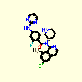 Cc1cc(Cl)cc2ccnc(N(C(=O)c3ccc(Nc4ncccn4)cc3F)[C@@H]3CCCNC3)c12